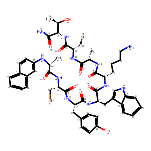 CC(C)[C@H](NC(=O)[C@H](CCCCN)NC(=O)[C@@H](Cc1c[nH]c2ccccc12)NC(=O)[C@H](Cc1ccc(O)cc1)NC(=O)[C@H](CS)NC(=O)[C@@H](C)Nc1ccc2ccccc2c1)C(=O)N[C@@H](CS)C(=O)N[C@H](C(N)=O)[C@@H](C)O